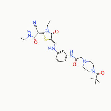 CCNC(=O)C(C#N)=c1sc(=CNc2cccc(NC(=O)CN3CCN(C(=O)C(C)(C)C)CC3)c2)c(=O)n1CC